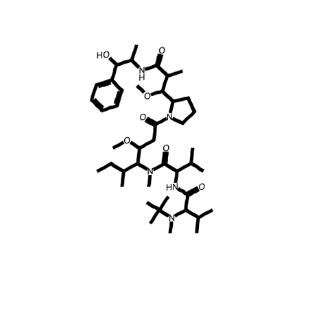 CCC(C)C(C(CC(=O)N1CCCC1C(OC)C(C)C(=O)NC(C)C(O)c1ccccc1)OC)N(C)C(=O)C(NC(=O)C(C(C)C)N(C)C(C)(C)C)C(C)C